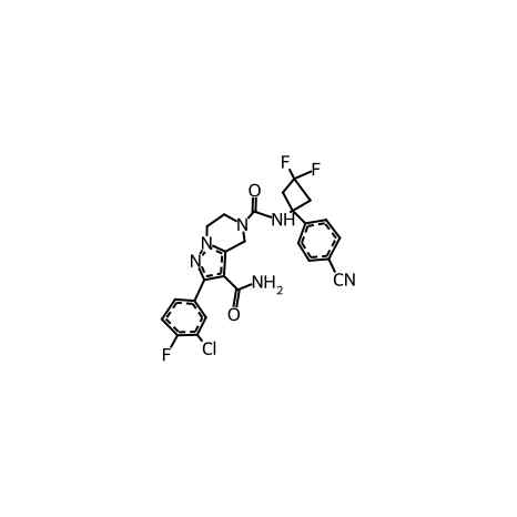 N#Cc1ccc(C2(NC(=O)N3CCn4nc(-c5ccc(F)c(Cl)c5)c(C(N)=O)c4C3)CC(F)(F)C2)cc1